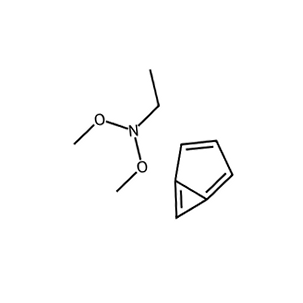 CCN(OC)OC.c1cc2cc-2c1